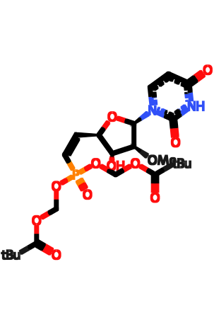 CO[C@H]1[C@@H](O)[C@@H](/C=C\P(=O)(OCOC(=O)C(C)(C)C)OCOC(=O)C(C)(C)C)O[C@H]1n1ccc(=O)[nH]c1=O